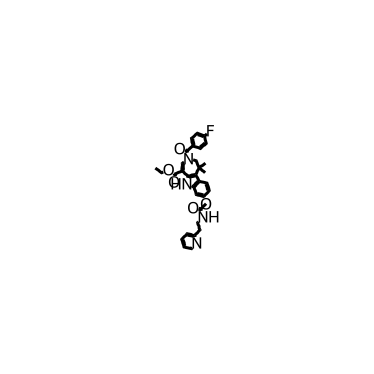 CCOC(=O)C1=CN(C(=O)c2ccc(F)cc2)CC(C)(C)c2c1[nH]c1cc(OC(=O)NCCc3ccccn3)ccc21